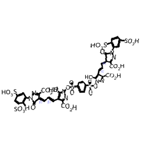 O=C(O)C1=NN(c2cc(S(=O)(=O)O)ccc2S(=O)(=O)O)C(=O)/C1=C/C=C/c1c(C(=O)O)nn(OS(=O)(=O)c2ccc(S(=O)(=O)On3nc(C(=O)O)c(/C=C/C=C4/C(=O)N(c5cc(S(=O)(=O)O)ccc5S(=O)(=O)O)N=C4C(=O)O)c3O)cc2)c1O